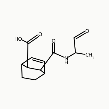 CC(C=O)NC(=O)C1C2C=CC(CC2)C1C(=O)O